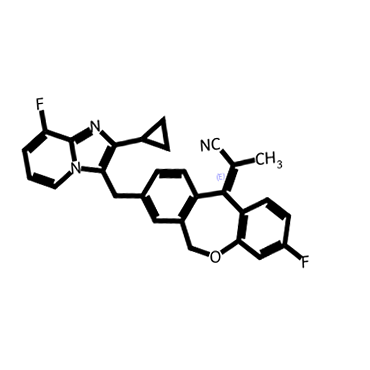 C/C(C#N)=C1/c2ccc(Cc3c(C4CC4)nc4c(F)cccn34)cc2COc2cc(F)ccc21